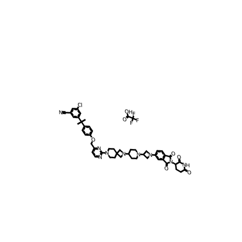 CC(C)(c1ccc(OCc2ccnc(N3CCC4(CC3)CN(C3CCN(C5CN(c6ccc7c(c6)C(=O)N(C6CCC(=O)NC6=O)C7=O)C5)CC3)C4)n2)cc1)c1cc(Cl)cc(C#N)c1.O=C(O)C(F)(F)F